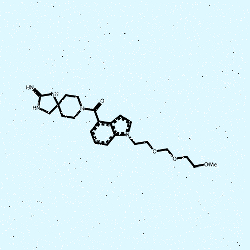 COCCOCOCCn1ccc2c(C(=O)N3CCC4(CC3)CNC(=N)N4)cccc21